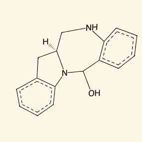 OC1c2ccccc2NC[C@@H]2Cc3ccccc3N12